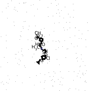 CCOC(=O)c1cccc(C(=O)N[C@@H](C)/C=C/c2cnc(Oc3ccc(OCC4CC4)cc3Cl)s2)c1